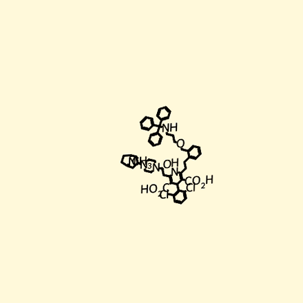 CN1C2CCC1CC(N1CCN(C(=O)CC3=C(C(=O)O)C(c4c(Cl)cccc4Cl)C(C(=O)O)=C(CCc4ccccc4COCCCNC(c4ccccc4)(c4ccccc4)c4ccccc4)N3)CC1)C2